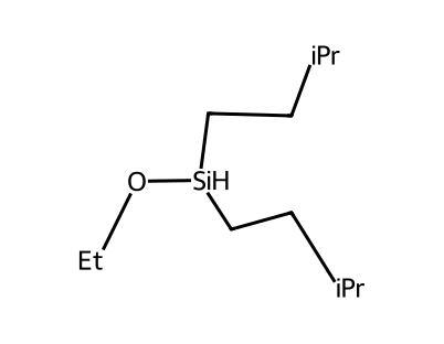 CCO[SiH](CCC(C)C)CCC(C)C